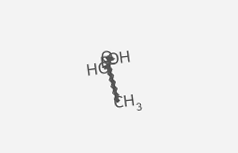 CCCCCCCCCCCC(O)C(F)(F)C(=O)O